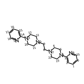 c1ccc(N2CCN(CCN3CCN(c4ccccn4)CC3)CC2)nc1